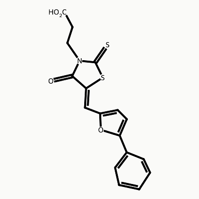 O=C(O)CCN1C(=O)C(=Cc2ccc(-c3ccccc3)o2)SC1=S